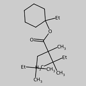 CCC(C)(C)CC(C)(C(=O)OC1(CC)CCCCC1)C(C)(C)CC